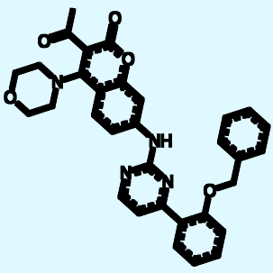 CC(=O)c1c(N2CCOCC2)c2ccc(Nc3nccc(-c4ccccc4OCc4ccccc4)n3)cc2oc1=O